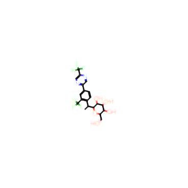 CC(c1ccc(-c2cnc(C(F)(F)F)cn2)cc1C(F)(F)F)C1OC(CO)C(O)C(O)C1O